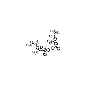 C=CC1=C(/C=C/N(c2ccccc2)c2ccc(C3=CC=C(N(c4ccccc4)c4ccc5c(c4)C(C)(C)c4cc(/C(C)=C/C=C(/C)CC)ccc4-5)CC3)cc2)C(C)(C)c2cc(/C(C)=C/C=C(C)C)ccc21